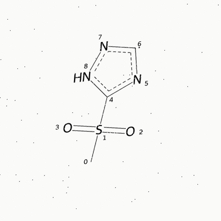 CS(=O)(=O)c1n[c]n[nH]1